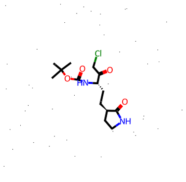 CC(C)(C)OC(=O)N[C@@H](CC[C@@H]1CCNC1=O)C(=O)CCl